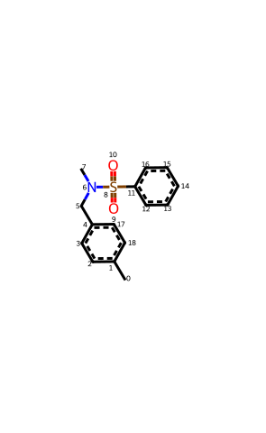 Cc1ccc(CN(C)S(=O)(=O)c2ccccc2)cc1